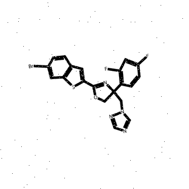 Fc1ccc(C2(Cn3cncn3)COC(c3cc4ccc(Br)cc4s3)=N2)c(F)c1